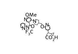 COc1cc(N2CCC(COc3cc(C(CC(=O)O)C4CC4)ccn3)CC2)c(C(=O)N(CC(F)(F)F)c2ccccn2)cn1